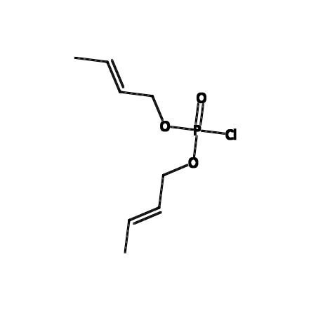 CC=CCOP(=O)(Cl)OCC=CC